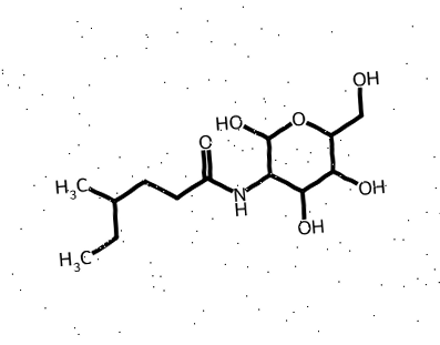 CCC(C)CCC(=O)NC1C(O)OC(CO)C(O)C1O